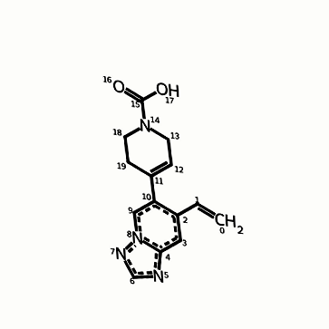 C=Cc1cc2ncnn2cc1C1=CCN(C(=O)O)CC1